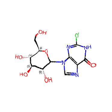 O=c1[nH]c(Cl)nc2c1ncn2C1O[C@H](CO)[C@@H](O)[C@H](O)[C@H]1O